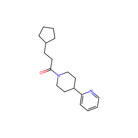 O=C(CCC1CCCC1)N1CCC(c2ccccn2)CC1